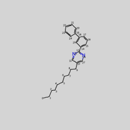 CCCCCCCCCCc1cnc(-c2cccc(-c3ccccc3)c2)nc1